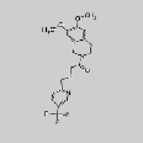 COc1cc2c(cc1OC)CN(C(=O)CCCc1ccc(C(F)(F)F)cn1)CC2